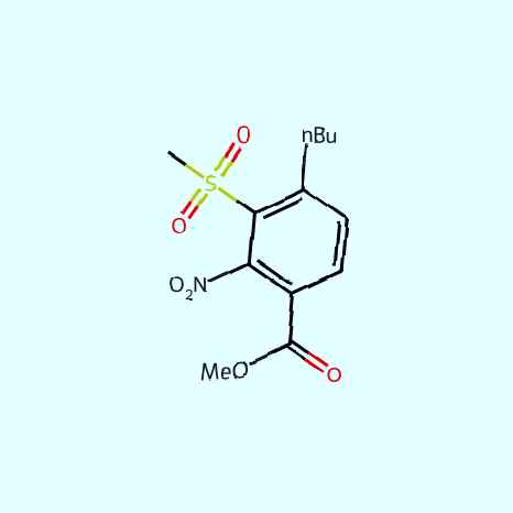 CCCCc1ccc(C(=O)OC)c([N+](=O)[O-])c1S(C)(=O)=O